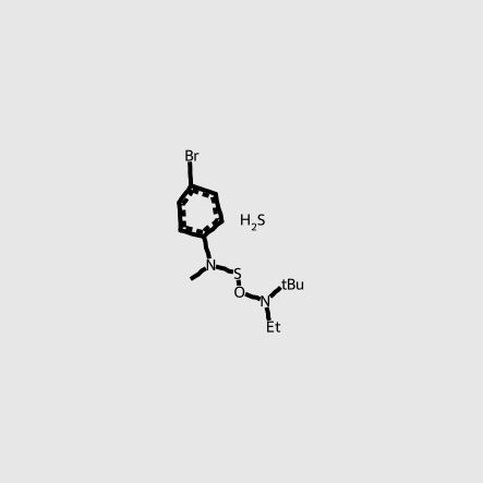 CCN(OSN(C)c1ccc(Br)cc1)C(C)(C)C.S